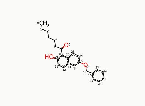 CCCCCCC(=O)c1c(O)ccc2cc(OCc3ccccc3)ccc12